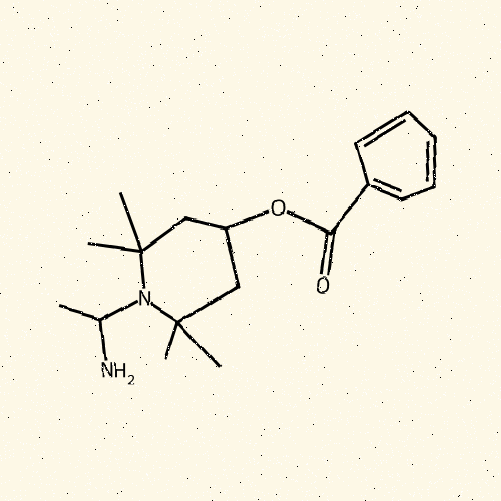 CC(N)N1C(C)(C)CC(OC(=O)c2ccccc2)CC1(C)C